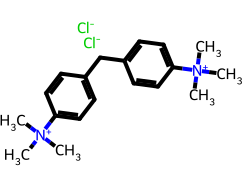 C[N+](C)(C)c1ccc(Cc2ccc([N+](C)(C)C)cc2)cc1.[Cl-].[Cl-]